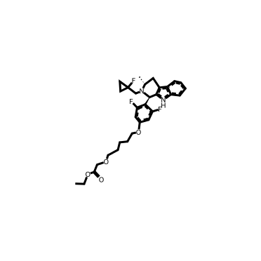 CCOC(=O)COCCCCCOc1cc(F)c([C@@H]2c3[nH]c4ccccc4c3C[C@@H](C)N2CC2(F)CC2)c(F)c1